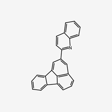 c1ccc2c(c1)-c1cccc3cc(-c4ccc5ccccc5n4)cc-2c13